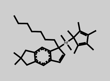 CCCCCCC[C]1([Hf]([CH3])([CH3])[C]2(C)C(C)=C(C)C(C)=C2C)C=Cc2cc3c(cc21)CC(C)(C)C3